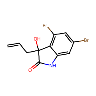 C=CCC1(O)C(=O)Nc2cc(Br)cc(Br)c21